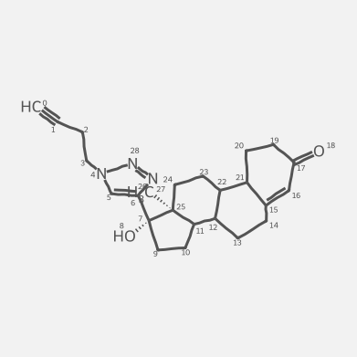 C#CCCn1cc([C@]2(O)CCC3C4CCC5=CC(=O)CCC5C4CC[C@@]32C)nn1